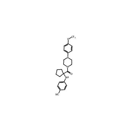 N#Cc1ccc(NC2(C(=O)N3CCN(c4ccc(OC(F)(F)F)cc4)CC3)CCCC2)cc1